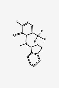 CC1=[C]C=C(C(F)(F)F)C(N(C)C2CCc3ccccc32)C1=O